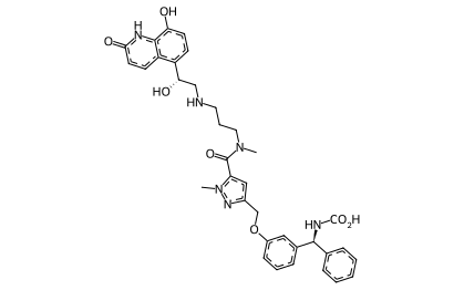 CN(CCCNC[C@H](O)c1ccc(O)c2[nH]c(=O)ccc12)C(=O)c1cc(COc2cccc([C@@H](NC(=O)O)c3ccccc3)c2)nn1C